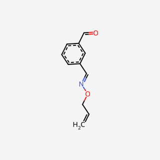 C=CCON=Cc1cccc(C=O)c1